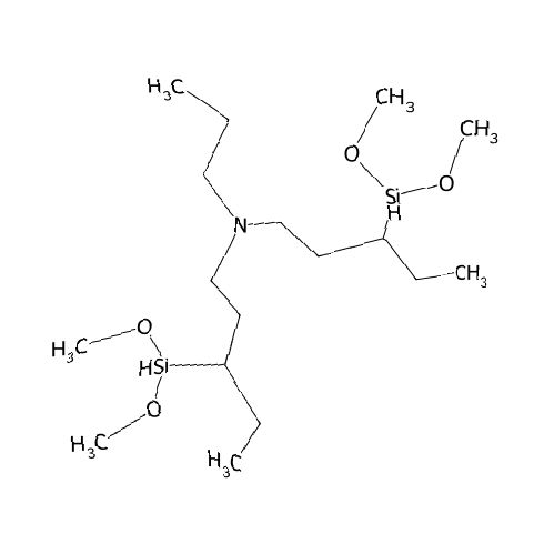 CCCN(CCC(CC)[SiH](OC)OC)CCC(CC)[SiH](OC)OC